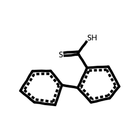 S=C(S)c1ccccc1-c1ccccc1